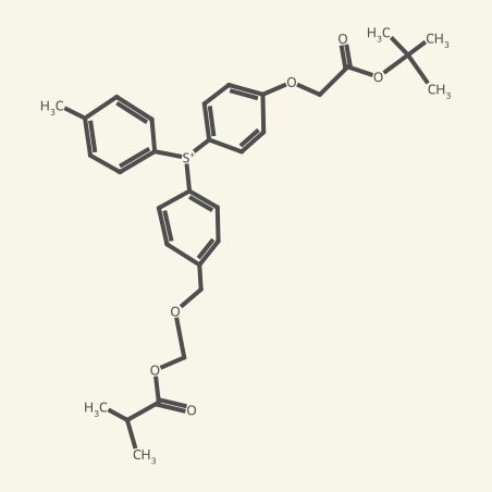 Cc1ccc([S+](c2ccc(COCOC(=O)C(C)C)cc2)c2ccc(OCC(=O)OC(C)(C)C)cc2)cc1